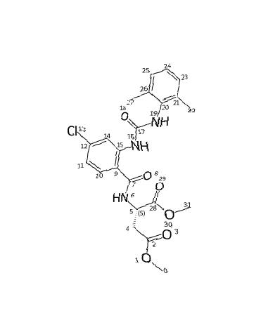 COC(=O)C[C@H](NC(=O)c1ccc(Cl)cc1NC(=O)Nc1c(C)cccc1C)C(=O)OC